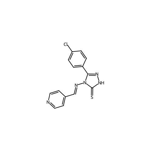 S=c1[nH]nc(-c2ccc(Cl)cc2)n1/N=C/c1ccncc1